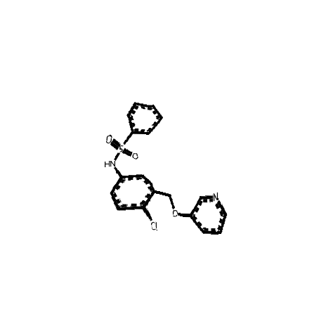 O=S(=O)(Nc1ccc(Cl)c(COc2cccnc2)c1)c1ccccc1